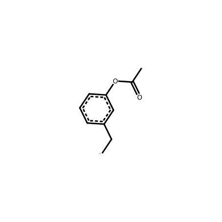 [CH2]Cc1cccc(OC(C)=O)c1